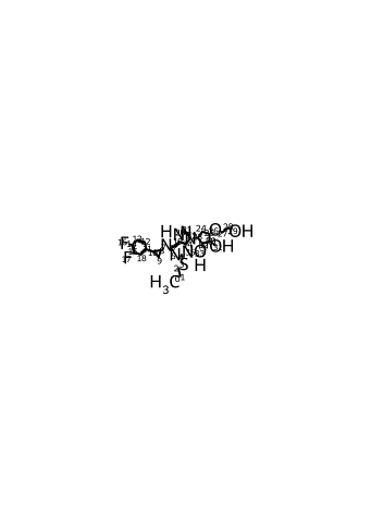 CCCSc1nc(NC2CC2c2ccc(F)c(F)c2)c2nnn(C3CC(OCCO)[C@@H](O)[C@H]3O)c2n1